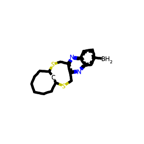 Bc1ccc2nc3c(nc2c1)CSC1CCCCCCC(C1)SC3